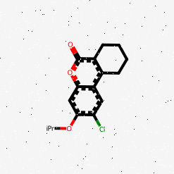 CC(C)Oc1cc2oc(=O)c3c(c2cc1Cl)CCCC3